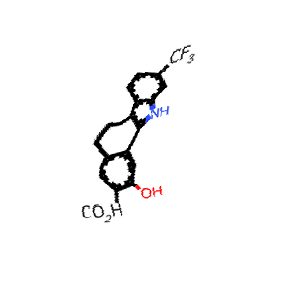 O=C(O)c1cc2c(cc1O)-c1[nH]c3cc(C(F)(F)F)ccc3c1CC2